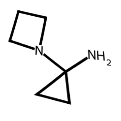 NC1(N2CCC2)CC1